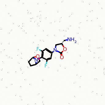 NC[C@H]1CN(c2cc(F)c(N3C4CCC3OC4)c(F)c2)C(=O)O1